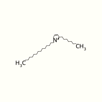 CCCCCCCCCCCCCCC[n+]1cccc(CCCCCCCC)c1